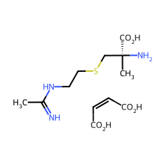 CC(=N)NCCSC[C@](C)(N)C(=O)O.O=C(O)/C=C\C(=O)O